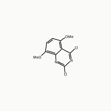 COc1ccc(OC)c2c(Cl)nc(Cl)nc12